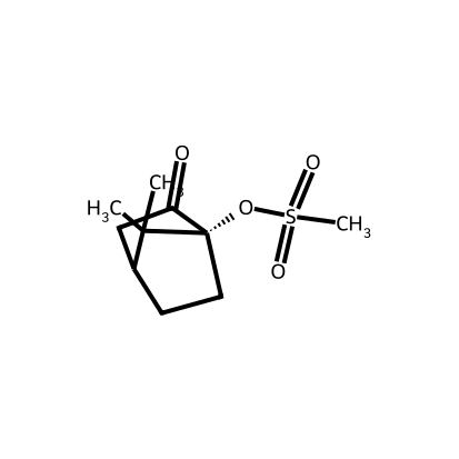 CC1(C)C2CC[C@]1(OS(C)(=O)=O)C(=O)C2